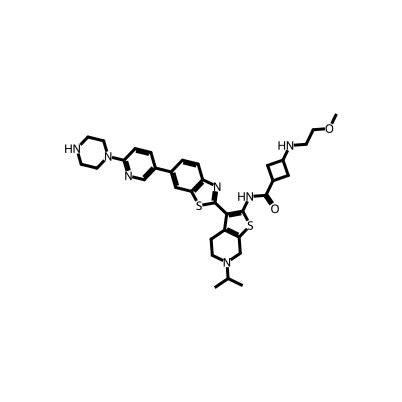 COCCNC1CC(C(=O)Nc2sc3c(c2-c2nc4ccc(-c5ccc(N6CCNCC6)nc5)cc4s2)CCN(C(C)C)C3)C1